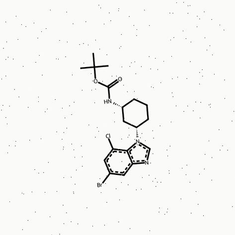 CC(C)(C)OC(=O)N[C@@H]1CCC[C@H](n2cnc3cc(Br)cc(Cl)c32)C1